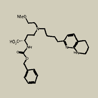 COCCN(CCCCc1ccc2c(n1)NCCC2)CC[C@H](NC(=O)OCc1ccccc1)C(=O)O